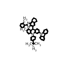 Cc1cccc(C)c1-c1nc2c3c(cc4c2n1-c1cccc2c1C4c1ccc(-n4c5ccccc5c5ccccc54)cc1N2c1ccc(C(C)(C)C)cc1)CCCC3